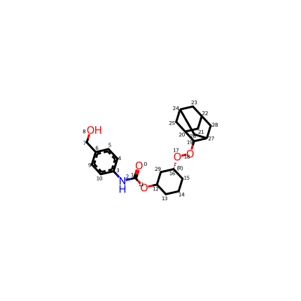 O=C(Nc1ccc(CO)cc1)OC1CCC[C@@H](OOC2C3CC4CC(C3)CC2C4)C1